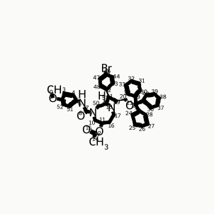 COc1ccc(NC(=O)N2CC(OC(C)=O)CCN3[C@H](COC(c4ccccc4)(c4ccccc4)c4ccccc4)[C@H](c4ccc(Br)cc4)[C@@H]3C2)cc1